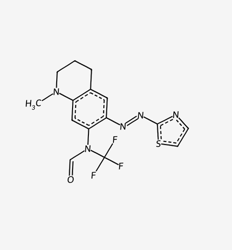 CN1CCCc2cc(N=Nc3nccs3)c(N(C=O)C(F)(F)F)cc21